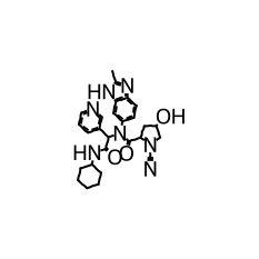 Cc1nc2ccc(N(C(=O)C3CC(O)CN3C#N)C(C(=O)NC3CCCCC3)c3cccnc3)cc2[nH]1